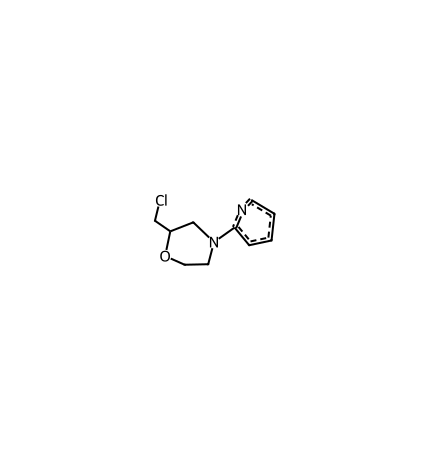 ClCC1CN(c2ccccn2)CCO1